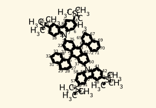 C[Si](C)(C)c1ccc2c(c1)c1cc([Si](C)(C)C)ccc1n2-c1ccc2c(-c3cccc4ccccc34)c3cc(-n4c5ccc([Si](C)(C)C)cc5c5cc([Si](C)(C)C)ccc54)ccc3c(-c3cccc4ccccc34)c2c1